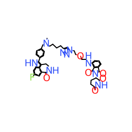 CN(CCCCc1cn(CCOCCNc2cccc3c2C(=O)N(C2CCC(=O)NC2=O)C3=O)nn1)Cc1ccc(-c2[nH]c3cc(F)cc4c3c2CCNC4=O)cc1